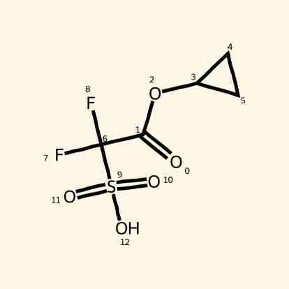 O=C(OC1CC1)C(F)(F)S(=O)(=O)O